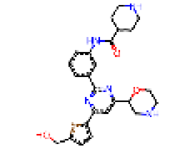 O=C(Nc1cccc(-c2nc(-c3ccc(CO)s3)cc(C3CNCCO3)n2)c1)C1CCNCC1